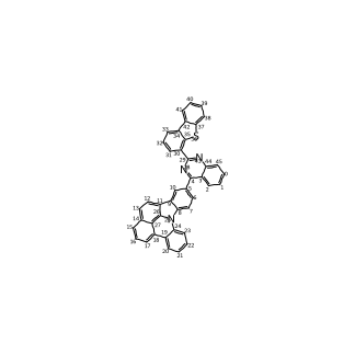 c1ccc2c(-c3ccc4c(c3)c3ccc5cccc6c7ccccc7n4c3c56)nc(-c3cccc4c3sc3ccccc34)nc2c1